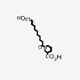 CCCCCCCC/C=C/CCCCCCCC(=O)N1CCCC(C(=O)O)C1